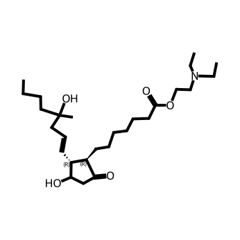 CCCCC(C)(O)CC=C[C@H]1C(O)CC(=O)[C@@H]1CCCCCCC(=O)OCCN(CC)CC